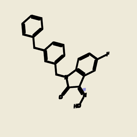 O=C1/C(=N\O)c2cc(F)ccc2N1Cc1cccc(Cc2ccccc2)c1